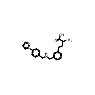 CC(CCc1cccc(CNCc2ccc(-n3cccn3)cc2)c1)C(=O)O